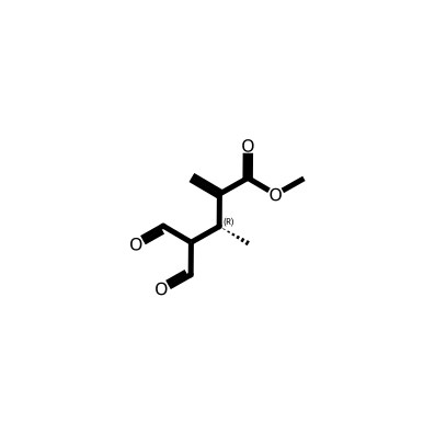 C=C(C(=O)OC)[C@H](C)C(C=O)C=O